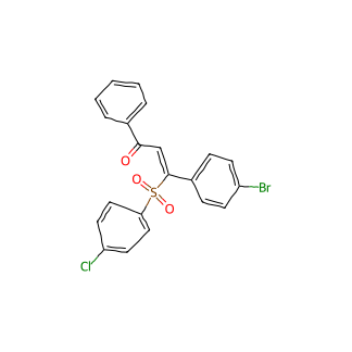 O=C(C=C(c1ccc(Br)cc1)S(=O)(=O)c1ccc(Cl)cc1)c1ccccc1